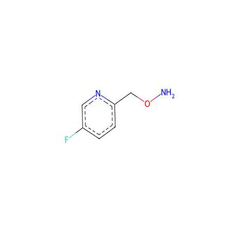 NOCc1ccc(F)cn1